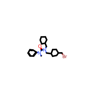 CN(C(=O)N(CC1CCCCC1)CC1CCC(CBr)CC1)c1ccccc1